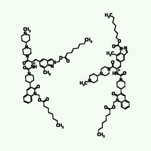 CCCCCCCC(=O)OCn1cc2cc(C[C@@H](NC(=O)N3CCC(c4cc5ccccc5n(COC(=O)CCCCCCC)c4=O)CC3)C(=O)N3CCN(C4CCN(C)CC4)CC3)cc(C)c2n1.CCCCCCCOC(=O)n1ncc2cc(C[C@@H](NC(=O)N3CCC(c4cc5ccccc5n(COC(=O)CCCCCCC)c4=O)CC3)C(=O)N3CCN(C4CCN(C)CC4)CC3)cc(C)c21